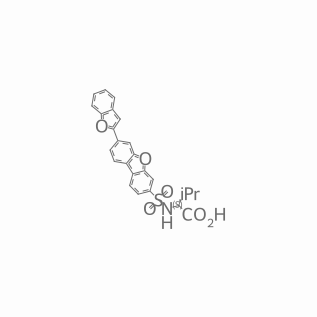 CC(C)[C@H](NS(=O)(=O)c1ccc2c(c1)oc1cc(-c3cc4ccccc4o3)ccc12)C(=O)O